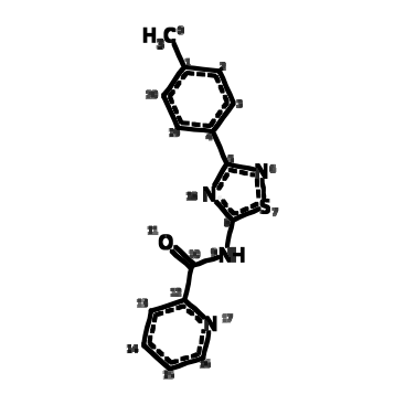 Cc1ccc(-c2nsc(NC(=O)c3ccccn3)n2)cc1